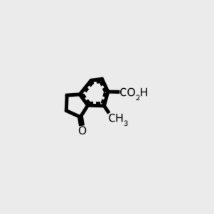 Cc1c(C(=O)O)ccc2c1C(=O)CC2